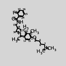 Cc1c(OCCCCN(C)C)ccc(C(C)N2CC(CNC(=O)c3ccccc3F)C2)c1C